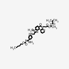 CCCCCCOC(=O)/N=C(\N)c1ccc(NCc2nc3cc(C(=O)N(CCC(=O)OC(C)OC(=O)C(C)C)c4ccccn4)ccc3n2C)cc1